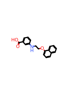 O=C(O)c1cccc(NCCOc2cccc3ccccc23)c1